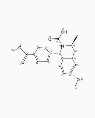 COC(=O)c1ccc([C@H]2c3ccc(OC)cc3C[C@H](C)N2C(=O)O)cc1